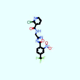 O=C(NCc1noc(-c2ccc(C(F)(F)F)cc2[N+](=O)[O-])n1)c1cccnc1Cl